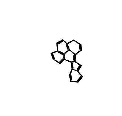 C1=Cc2c3c(c4cccc5ccc(c2c54)C1)=c1ccccc1=C3